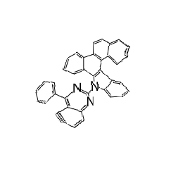 c1ccc2nc(-n3c4ccccc4c4c5c6ccccc6ccc5c5ccccc5c43)nc(-c3ccccc3)c2c#1